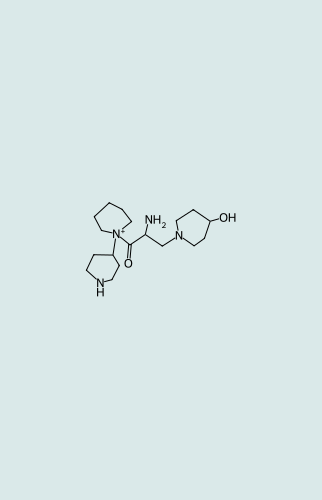 NC(CN1CCC(O)CC1)C(=O)[N+]1(C2CCNCC2)CCCCC1